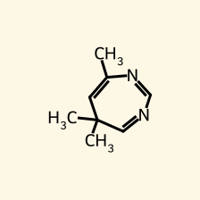 CC1=CC(C)(C)C=NC=N1